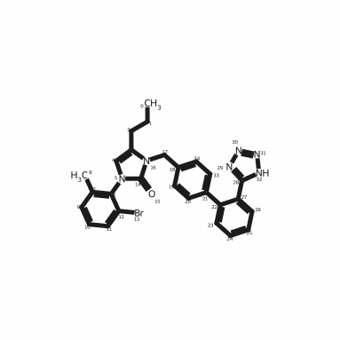 CCCc1cn(-c2c(C)cccc2Br)c(=O)n1Cc1ccc(-c2ccccc2-c2nnn[nH]2)cc1